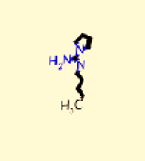 CCCCCN=C(N)N1C=CCC1